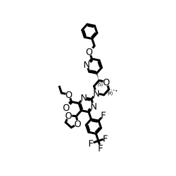 CCOC(=O)c1nc(N2C[C@@H](C)O[C@@H](c3ccc(OCc4ccccc4)nc3)C2)nc(-c2ccc(C(F)(F)F)cc2F)c1C1OCCO1